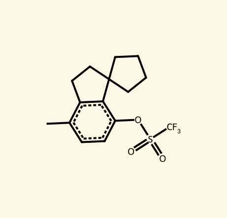 Cc1ccc(OS(=O)(=O)C(F)(F)F)c2c1CCC21CCCC1